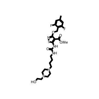 COC(=O)c1c(OCc2c(F)cc(C)cc2F)nsc1NC(=O)NCCCCN1CCN(CCO)CC1